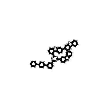 c1ccc(-c2ccc(-c3cccc(-c4nc(-c5ccc6sc7ccccc7c6c5)nc(-c5cccc6oc7cc(-c8ccc9c(c8)oc8ccccc89)ccc7c56)n4)c3)cc2)cc1